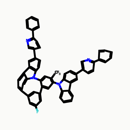 Fc1cc2cc(c1)c1cc(-n3c4ccccc4c4cc(-c5ccc(-c6ccccc6)nc5)ccc43)c(C(F)(F)F)cc1n1c3ccc(-c4ccc(-c5ccccc5)nc4)cc3c3ccc2cc31